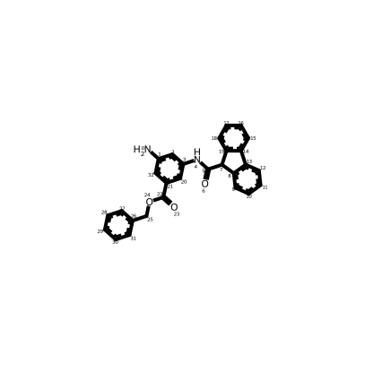 Nc1cc(NC(=O)C2c3ccccc3-c3ccccc32)cc(C(=O)OCc2ccccc2)c1